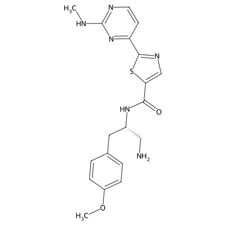 CNc1nccc(-c2ncc(C(=O)N[C@H](CN)Cc3ccc(OC)cc3)s2)n1